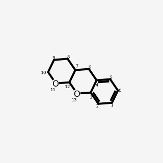 c1ccc2c(c1)CC1CCCOC1O2